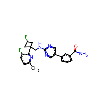 Cc1ccc(F)c(C2(CNc3ncc(-c4cccc(C(N)=O)c4)cn3)CC(F)C2)n1